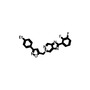 CCc1ccc(-c2cc(Cn3cc4nc(-c5cccc(F)c5F)nc-4cn3)on2)cc1